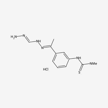 CNC(=S)Nc1cccc(C(C)=NNC=NN)c1.Cl